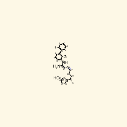 Cc1ccccc1-c1cccc(N/C(N)=C\N=C/CC[C@H](C)N2CC[C@@H](O)C2)c1C